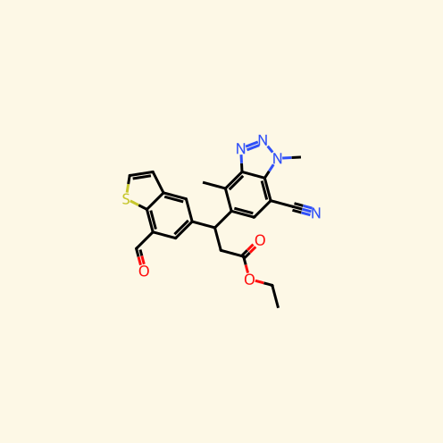 CCOC(=O)CC(c1cc(C=O)c2sccc2c1)c1cc(C#N)c2c(nnn2C)c1C